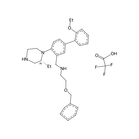 CCOc1ccccc1-c1ccc(N2CCNC[C@H]2CC)c(CNCCOCc2ccccc2)c1.O=C(O)C(F)(F)F